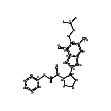 CN(C)CCn1c(C(F)(F)F)nc2sc(N3CCCC3C(=O)NCc3ccccc3)nc2c1=O